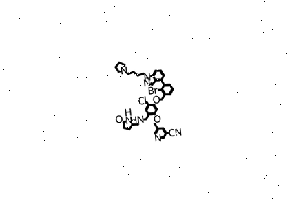 N#Cc1cncc(COc2cc(OCc3cccc(-c4cccc5c4cnn5CCCCN4CCCC4)c3Br)c(Cl)cc2CNCC2CCC(=O)N2)c1